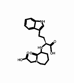 O=C(O)CN1CCCCC(N[C@@H](CCc2c[nH]c3ccccc23)C(=O)O)C1=O